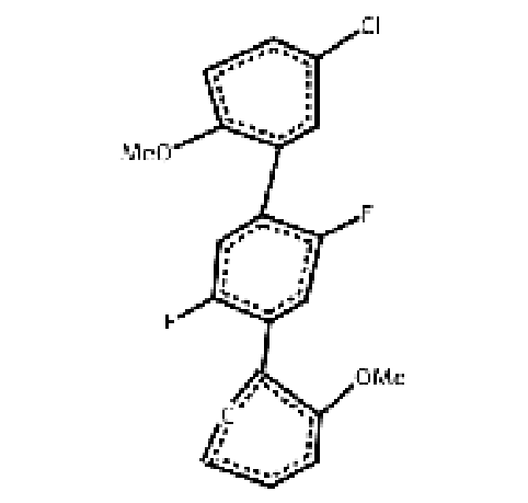 COc1ccccc1-c1cc(F)c(-c2cc(Cl)ccc2OC)cc1F